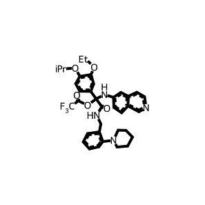 CCOc1cc(C(Nc2ccc3cnccc3c2)(OC(=O)C(F)(F)F)C(=O)NCc2ccccc2N2CCCCC2)ccc1OC(C)C